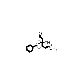 C/C=C/[C@H](OCc1ccccc1)C(C)(C)CC=O